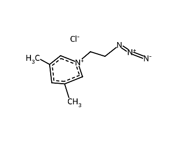 Cc1cc(C)c[n+](CCN=[N+]=[N-])c1.[Cl-]